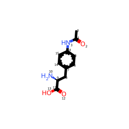 CC(=O)Nc1ccc(C[C@H](N)C(=O)O)cc1